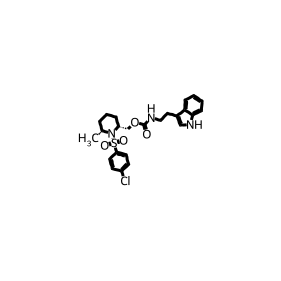 C[C@@H]1CCC[C@H](COC(=O)NCCc2c[nH]c3ccccc23)N1S(=O)(=O)c1ccc(Cl)cc1